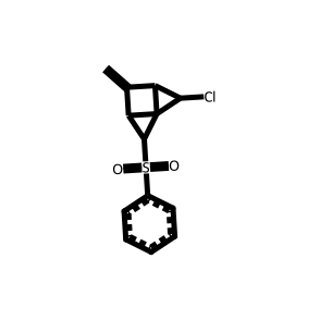 C=C1C2C(Cl)C23C1C3S(=O)(=O)c1ccccc1